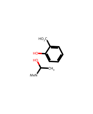 CNC(C)O.O=C(O)c1ccccc1O